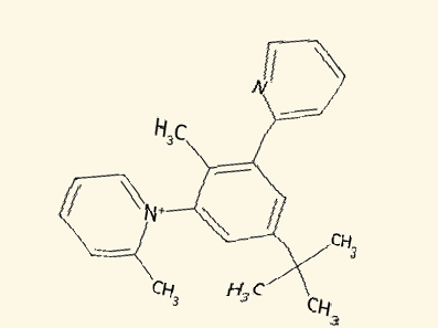 Cc1c(-c2ccccn2)cc(C(C)(C)C)cc1-[n+]1ccccc1C